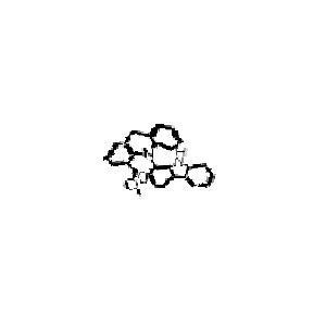 COC(=O)c1cccc2c1N(c1cccc3c1[nH]c1ccccc13)c1ccccc1C2